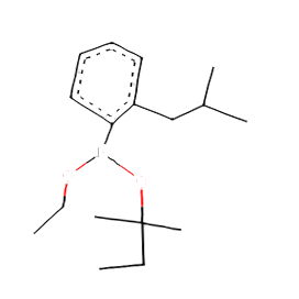 CCOB(OC(C)(C)CC)c1ccccc1CC(C)C